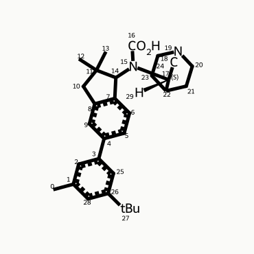 Cc1cc(-c2ccc3c(c2)CC(C)(C)C3N(C(=O)O)[C@@H]2CN3CCC2CC3)cc(C(C)(C)C)c1